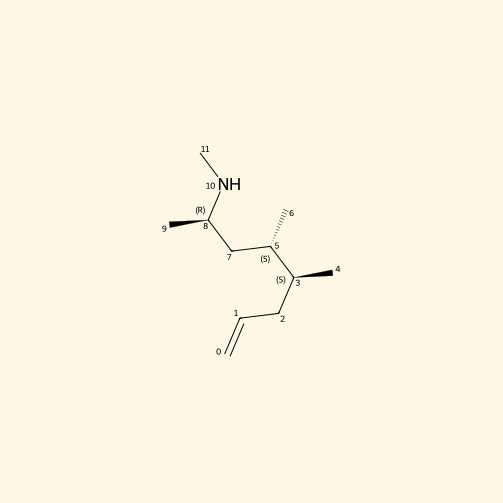 C=CC[C@H](C)[C@@H](C)C[C@@H](C)NC